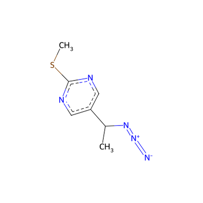 CSc1ncc(C(C)N=[N+]=[N-])cn1